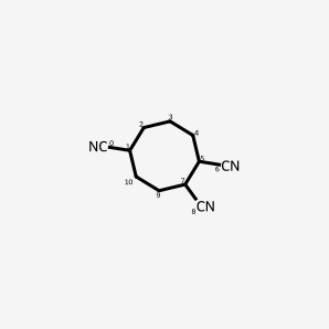 N#CC1CCCC(C#N)C(C#N)CC1